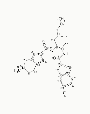 COCC1CCC(NC(=O)c2cc3cc(Cl)ccc3[nH]2)C(NC(=O)c2nc3c(s2)CN(C)CC3)C1